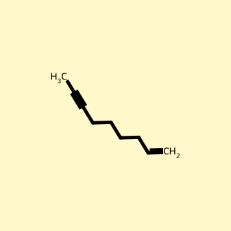 C=CCCCCC#CC